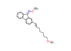 CC(C)OCCCCC/C=C/c1ccc2c(c1)/C(=N\OC(C)(C)C)c1ccccc1-2